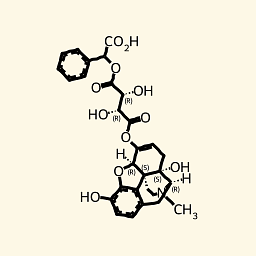 CN1CC[C@]23c4c5ccc(O)c4O[C@H]2C(OC(=O)[C@H](O)[C@@H](O)C(=O)OC(C(=O)O)c2ccccc2)=CC[C@@]3(O)[C@H]1C5